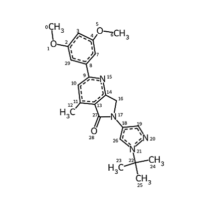 COc1cc(OC)cc(-c2cc(C)c3c(n2)CN(c2cnn(C(C)(C)C)c2)C3=O)c1